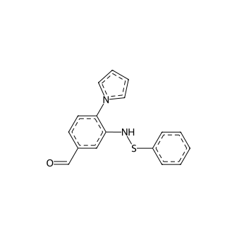 O=Cc1ccc(-n2cccc2)c(NSc2ccccc2)c1